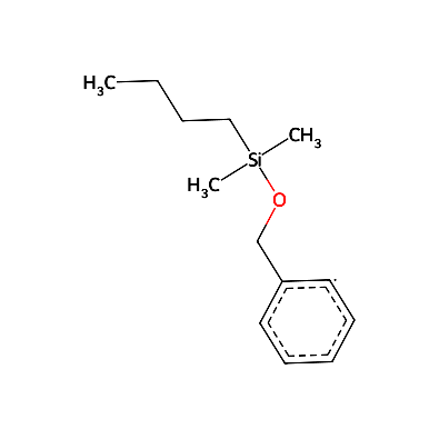 CCCC[Si](C)(C)OCc1[c]cccc1